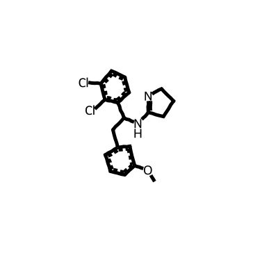 COc1cccc(CC(NC2=NCCC2)c2cccc(Cl)c2Cl)c1